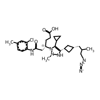 Cc1ccc(NC(=O)C[C@H](CCC(=O)O)N2C(C3CC3)=C([C@H]3C[C@@H](CC(C)CN=[N+]=[N-])C3)NN2C)c(Cl)c1